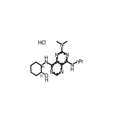 CCCNc1nc(N(C)C)nc2c(N[C@@H]3CCCC[C@@H]3O)ncnc12.Cl